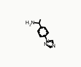 CC(N)c1ccc(-n2cncn2)cc1